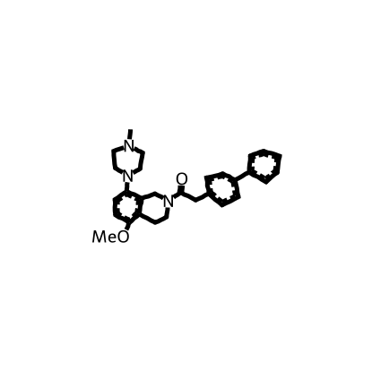 COc1ccc(N2CCN(C)CC2)c2c1CCN(C(=O)Cc1ccc(-c3ccccc3)cc1)C2